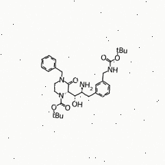 CC(C)(C)OC(=O)NCc1cccc(C[C@H](N)[C@H](O)[C@H]2C(=O)N(Cc3ccccc3)CCN2C(=O)OC(C)(C)C)c1